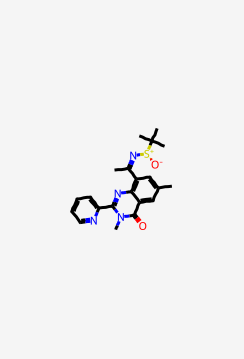 C/C(=N/[S@+]([O-])C(C)(C)C)c1cc(C)cc2c(=O)n(C)c(-c3ccccn3)nc12